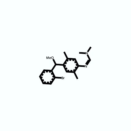 COC(c1cc(C)c(/N=C\N(C)C)cc1C)c1ccccc1Br